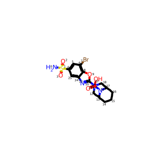 NS(=O)(=O)c1cc(Br)c2oc(N3CC4CCCC(C3)N4C(=O)O)nc2c1